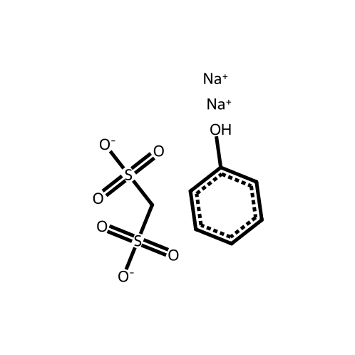 O=S(=O)([O-])CS(=O)(=O)[O-].Oc1ccccc1.[Na+].[Na+]